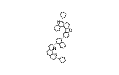 c1ccc(-c2ccc3ccc4ccc(-c5ccc(-c6ccc7oc8ccc9c(-c%10ccccc%10)nc%10ccccc%10c9c8c7c6)c6ccccc56)nc4c3n2)cc1